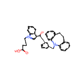 O=C(O)CCCn1cc(C(=O)c2cccc(CN3c4ccccc4CCc4ccccc43)c2)c2ccccc21